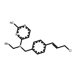 CC(C)(C)CN(Cc1ccc(C=CCCl)cc1)c1ccnc(C#N)n1